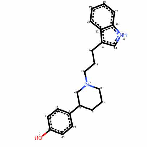 Oc1ccc(C2CCCN(CCCc3c[nH]c4ccccc34)C2)cc1